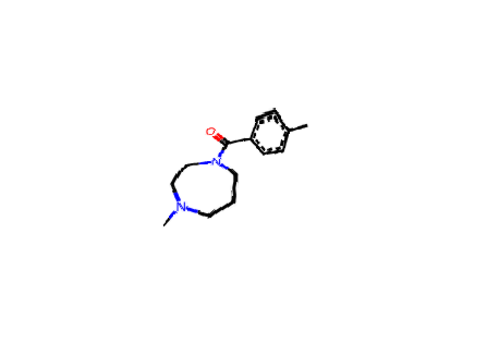 Cc1ccc(C(=O)N2CCCN(C)CC2)cc1